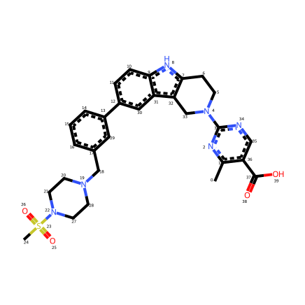 Cc1nc(N2CCc3[nH]c4ccc(-c5cccc(CN6CCN(S(C)(=O)=O)CC6)c5)cc4c3C2)ncc1C(=O)O